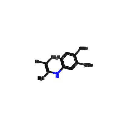 CCC(C(=O)O)=C(C)Nc1ccc(OC)c(OC)c1